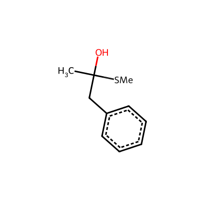 CSC(C)(O)Cc1ccccc1